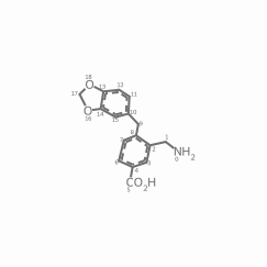 NCc1cc(C(=O)O)ccc1Cc1ccc2c(c1)OCO2